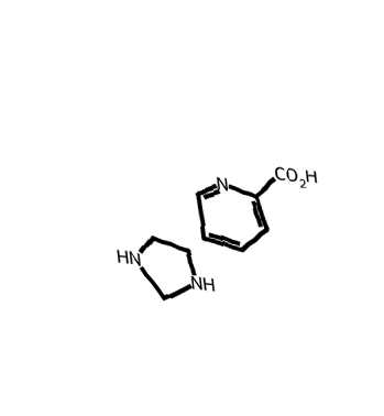 C1CNCN1.O=C(O)c1ccccn1